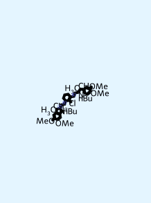 CCCCN1/C(=C\C=C2/CCCC(/C=C/C3=[N+](CCCC)c4cc(OC)c(OC)cc4C3(C)C)=C2Cl)C(C)(C)c2cc(OC)c(OC)cc21